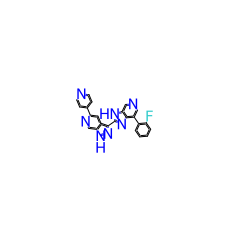 Fc1ccccc1-c1cncc2[nH]c(-c3n[nH]c4cnc(-c5ccncc5)cc34)nc12